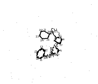 CN(c1cc(-n2cnc(Nc3ccccc3)n2)ccn1)C1CCCCC1